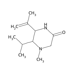 C=C(C)C1NC(=O)CN(C)C1C(C)C